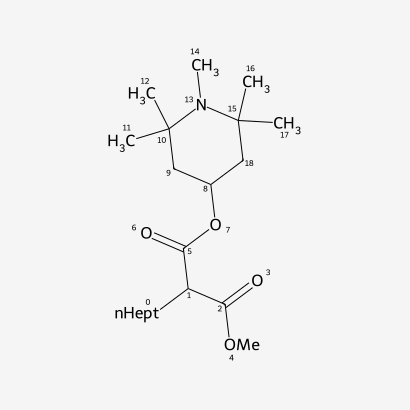 CCCCCCCC(C(=O)OC)C(=O)OC1CC(C)(C)N(C)C(C)(C)C1